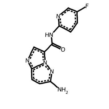 Nc1ccc2ncc(C(=O)Nc3ccc(F)cn3)n2n1